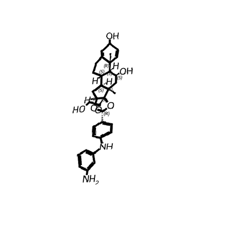 C[C@]12C=CC(O)C=C1CC[C@@H]1[C@@H]2[C@@H](O)C[C@@]2(C)[C@H]1C[C@H]1O[C@@H](c3ccc(Nc4cccc(N)c4)cc3)O[C@]12C(=O)CO